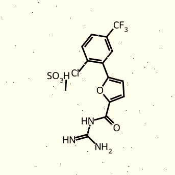 CS(=O)(=O)O.N=C(N)NC(=O)c1ccc(-c2cc(C(F)(F)F)ccc2Cl)o1